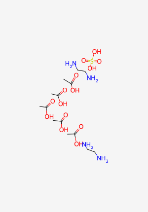 CC(=O)O.CC(=O)O.CC(=O)O.CC(=O)O.CC(=O)O.NCCN.NCCN.O=S(=O)(O)O